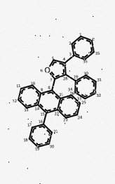 c1ccc(-c2coc(-c3c4ccccc4c(-c4ccccc4)c4ccccc34)c2-c2ccccc2)cc1